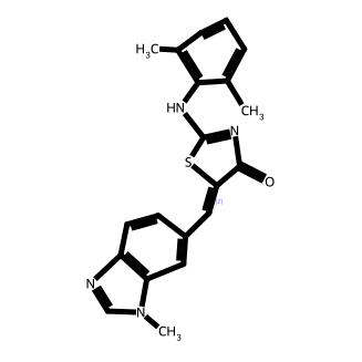 Cc1cccc(C)c1NC1=NC(=O)/C(=C/c2ccc3ncn(C)c3c2)S1